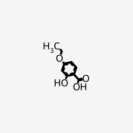 CCOc1ccc(C(=O)O)c(O)c1